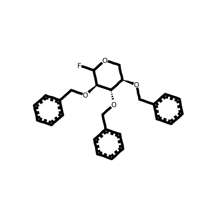 FC1OC[C@@H](OCc2ccccc2)[C@H](OCc2ccccc2)[C@H]1OCc1ccccc1